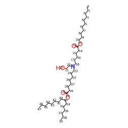 CCCCCCCCCCCOC(=O)CCCCCN(CCO)CCCCCCCC(=O)OC(CCCCCC)CCCCCCCC